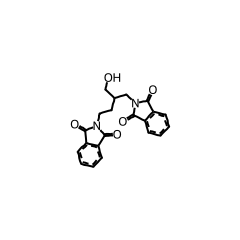 O=C1c2ccccc2C(=O)N1CCC(CO)CN1C(=O)c2ccccc2C1=O